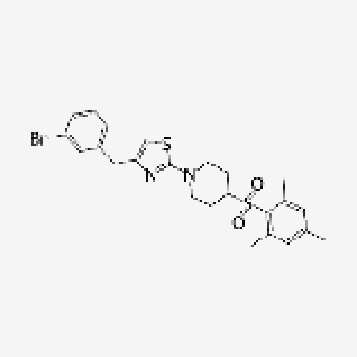 Cc1cc(C)c(S(=O)(=O)C2CCN(c3nc(Cc4cccc(Br)c4)cs3)CC2)c(C)c1